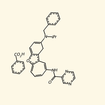 CC(C)N(Cc1ccccc1)C1=CC=c2oc3c(c2C1)C=C(NC(=O)c1cnccn1)C=CC=3.O=C(O)c1ccccc1